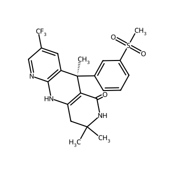 CC1(C)CC2=C(C(=O)N1)[C@](C)(c1cccc(S(C)(=O)=O)c1)c1cc(C(F)(F)F)cnc1N2